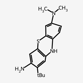 CN(C)c1ccc2c(c1)Sc1cc(N)c(C(C)(C)C)cc1N2